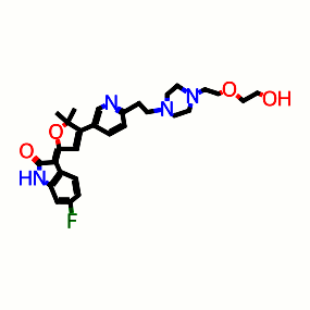 CC1(C)OC(=C2C(=O)Nc3cc(F)ccc32)C=C1c1ccc(CCN2CCN(CCOCCO)CC2)nc1